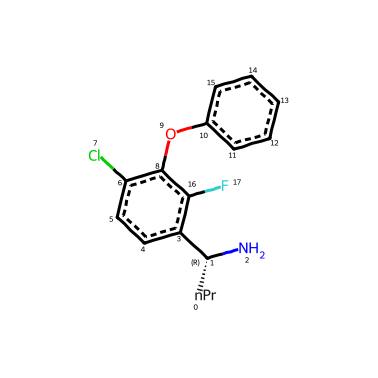 CCC[C@@H](N)c1ccc(Cl)c(Oc2ccccc2)c1F